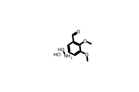 COc1cccc(C=O)c1OC.Cl.NO